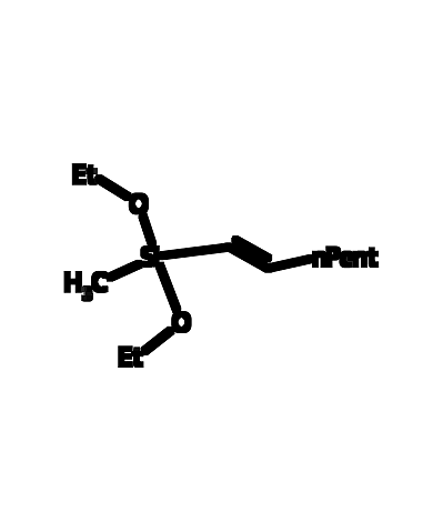 CCCCC/C=C/[Si](C)(OCC)OCC